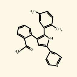 Cc1ccc(C)c(-c2[nH]c(-c3ccncc3)cc2-c2ccccc2C(N)=O)c1